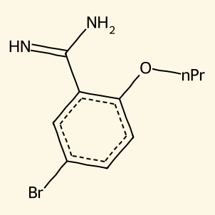 CCCOc1ccc(Br)cc1C(=N)N